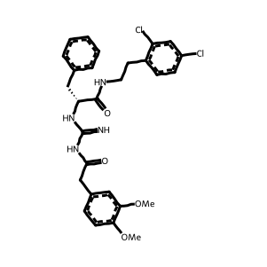 COc1ccc(CC(=O)NC(=N)N[C@H](Cc2ccccc2)C(=O)NCCc2ccc(Cl)cc2Cl)cc1OC